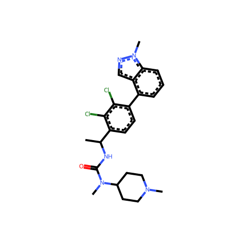 CC(NC(=O)N(C)C1CCN(C)CC1)c1ccc(-c2cccc3c2cnn3C)c(Cl)c1Cl